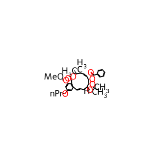 CCCOc1cc2c(c(OCOC)c1)C(=O)O[C@@H](C)[C@H](C)/C=C\C(OC(=O)c1ccccc1)C1OC(C)(C)O[C@H]1C/C=C/2